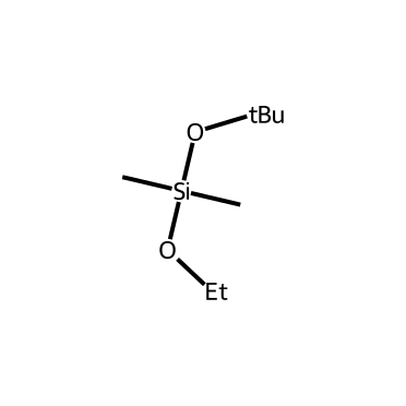 CCO[Si](C)(C)OC(C)(C)C